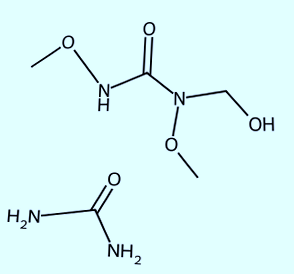 CONC(=O)N(CO)OC.NC(N)=O